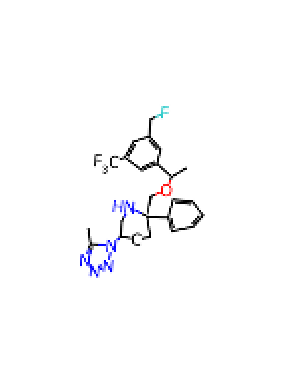 Cc1nnnn1[C@@H]1CC[C@@](COC(C)c2cc(CF)cc(C(F)(F)F)c2)(c2ccccc2)NC1